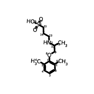 Cc1cccc(C)c1OCC(C)NCCCS(=O)(=O)O